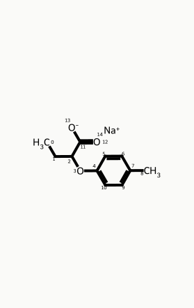 CCC(Oc1ccc(C)cc1)C(=O)[O-].[Na+]